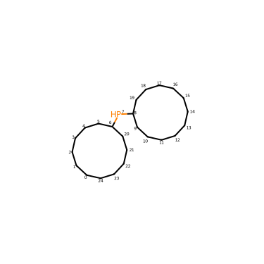 C1CCCCCC(PC2CCCCCCCCCCC2)CCCCC1